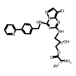 CCc1cnn2c(NCc3ccc(-c4ccccn4)cc3)nc(NC[C@H](O)COC(=O)[C@H](N)C(C)C)nc12